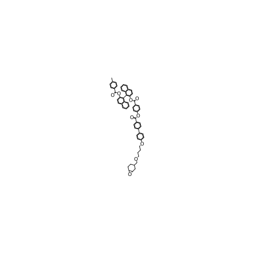 Cc1ccc(C(=O)Oc2ccc3ccccc3c2-c2c(OC(=O)c3ccc(OC(=O)c4ccc(-c5ccc(OCCCCOCC6CCC7OC7C6)cc5)cc4)cc3)ccc3ccccc23)cc1